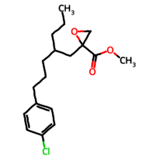 CCCC(CCCc1ccc(Cl)cc1)CC1(C(=O)OC)CO1